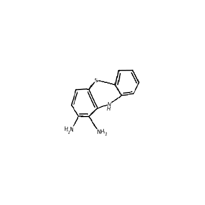 Nc1ccc2c(c1N)Nc1ccccc1S2